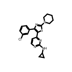 Clc1cccc(-c2nc(N3CCCCC3)sc2-c2ccnc(NC3CC3)n2)c1